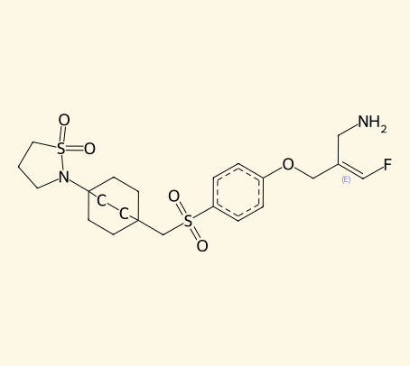 NC/C(=C\F)COc1ccc(S(=O)(=O)CC23CCC(N4CCCS4(=O)=O)(CC2)CC3)cc1